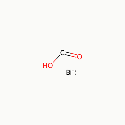 O=[C-]O.[Bi+]